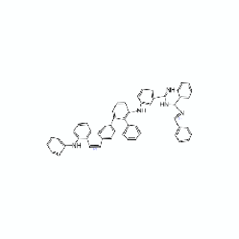 N=C(NC(/N=C/c1ccccc1)c1ccccc1)c1cccc(Nc2cccc(-c3ccc(/C=C\c4ccccc4Nc4ccccc4)cc3)c2-c2ccccc2)c1